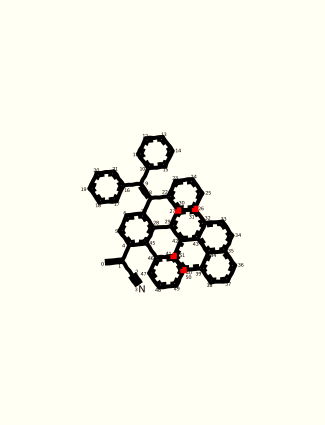 C=C(C#N)c1ccc(C(=C(c2ccccc2)c2ccccc2)c2ccccc2)c(-c2ccc3ccc4cccc5ccc2c3c45)c1-c1ccccc1